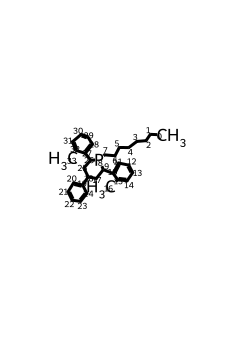 CCCCCCCCP1C(c2ccccc2C)CC(c2ccccc2)CC1c1ccccc1C